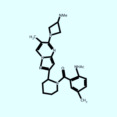 CNC1CN(c2nc3cc(C4CCCCN4C(=O)c4cc(C)ccc4NC(C)=O)nn3cc2C)C1